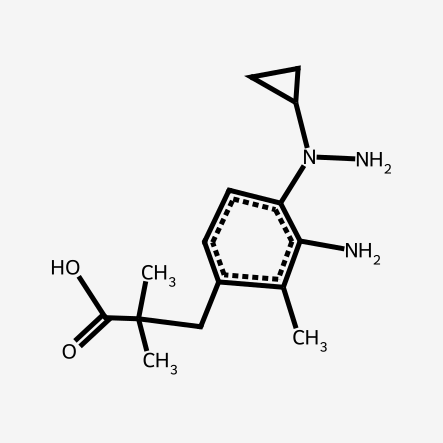 Cc1c(CC(C)(C)C(=O)O)ccc(N(N)C2CC2)c1N